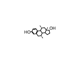 C[C@H]1C[C@@]2(C)C(CC[C@@H]2O)C2C1c1ccc(O)cc1C[C@@H]2C